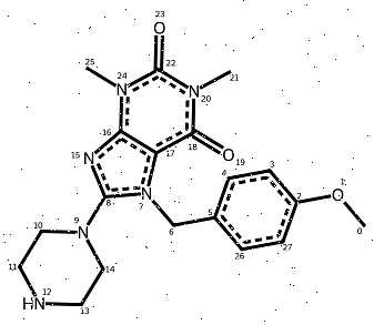 COc1ccc(Cn2c(N3CCNCC3)nc3c2c(=O)n(C)c(=O)n3C)cc1